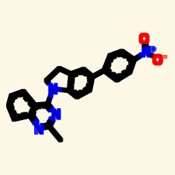 Cc1nc(N2CCc3cc(-c4ccc([N+](=O)[O-])cc4)ccc32)c2ccccc2n1